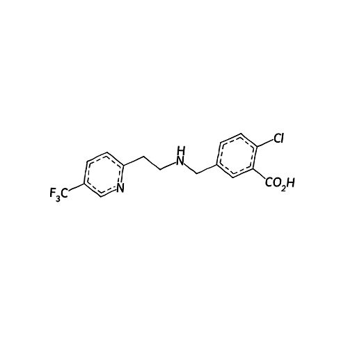 O=C(O)c1cc(CNCCc2ccc(C(F)(F)F)cn2)ccc1Cl